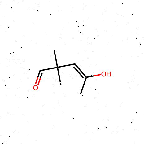 C/C(O)=C\C(C)(C)C=O